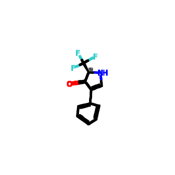 O=C1C(c2ccccc2)=CN[C@@H]1C(F)(F)F